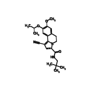 COc1cc2c(cc1OC(C)C)-c1c(C#N)cc(C(=O)NCC(C)(C)C)n1CC2